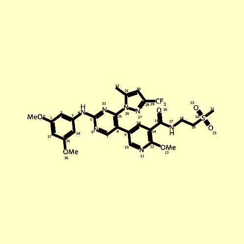 COc1cc(Nc2ncc(-c3cnc(OC)c(C(=O)NCCS(C)(=O)=O)c3)c(-n3nc(C(F)(F)F)cc3C)n2)cc(OC)c1